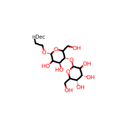 CCCCCCCCCCCCO[C@@H]1OC(CO)[C@H](O[C@@H]2OC(CO)[C@@H](O)[C@@H](O)C2O)[C@@H](O)C1O